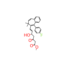 COC(=O)CC(=O)CC(O)C=CC1=C(c2ccc(F)cc2)c2ccccc2C=CC1(C)C